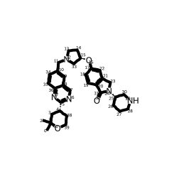 CC1(C)C[C@H](c2ncc3cc(CN4CC[C@H](Oc5ccc6c(c5)CN([C@H]5CCCNC5)C6=O)C4)ccc3n2)CCO1